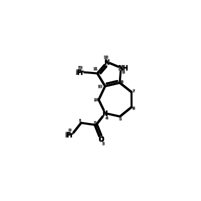 CC(C)CC(=O)N1CCCc2[nH]nc(C(C)C)c2C1